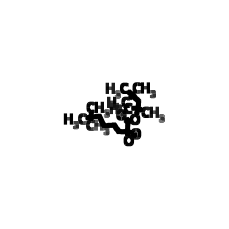 CC(C)(C)CCCCC1(C(=O)OC(C)(C)CC(C)(C)C)OO1